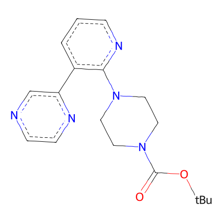 CC(C)(C)OC(=O)N1CCN(c2ncccc2-c2cnccn2)CC1